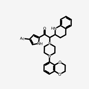 CC(=O)c1c[nH]c(C(=O)C(C2CCc3ccccc3N2)N2CCN(c3cccc4c3OCCO4)CC2)c1